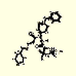 CC1(C)N[C@H](C(=O)NN(C(=O)CCSCC2CCCCC2)C2CCN(Cc3ccccc3)CC2)C(C)(C)S1.Cl